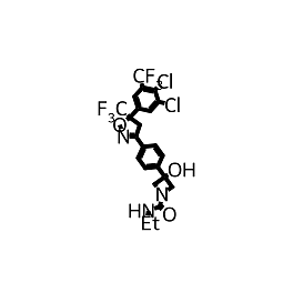 CCNC(=O)N1CC(O)(c2ccc(C3=NOC(c4cc(Cl)c(Cl)c(C(F)(F)F)c4)(C(F)(F)F)C3)cc2)C1